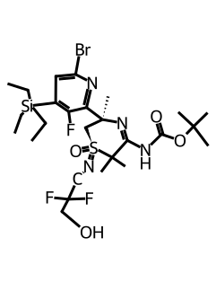 CC[Si](CC)(CC)c1cc(Br)nc([C@]2(C)C[S@](=O)(=NCC(F)(F)CO)C(C)(C)C(NC(=O)OC(C)(C)C)=N2)c1F